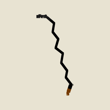 CCCCCCCCCCCCC[C]=S